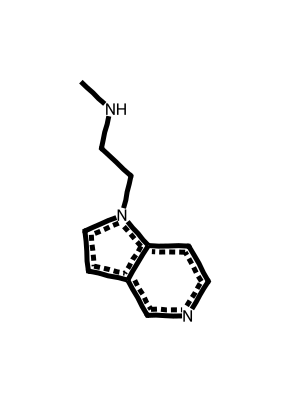 CNCCn1ccc2cnccc21